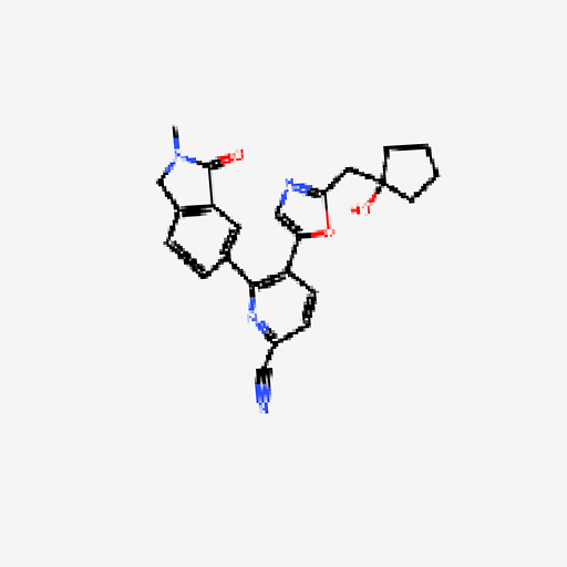 CN1Cc2ccc(-c3nc(C#N)ccc3-c3cnc(CC4(O)CCCC4)o3)cc2C1=O